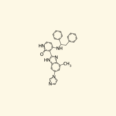 Cc1cc(-n2ccnc2)cc2[nH]c(-c3c(NC(Cc4ccccc4)c4ccccc4)cc[nH]c3=O)nc12